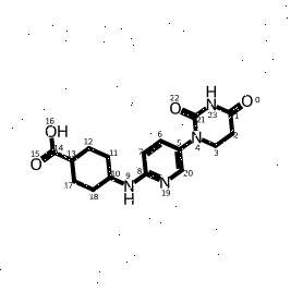 O=C1CCN(c2ccc(NC3CCC(C(=O)O)CC3)nc2)C(=O)N1